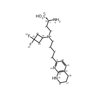 N[C@@H](CCN(CCCCc1ccc2c(n1)NCCC2)C1CC(F)(F)C1)C(=O)O